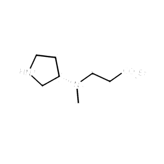 CCOC(=O)CCN(C)[C@H]1CCNC1